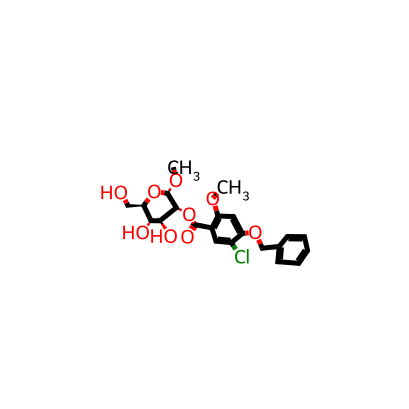 COc1cc(OCc2ccccc2)c(Cl)cc1C(=O)O[C@H]1[C@@H](OC)O[C@H](CO)[C@@H](O)[C@@H]1O